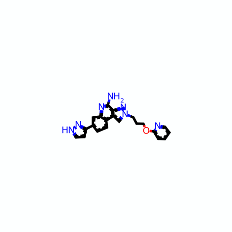 Nc1nc2cc(-c3cc[nH]n3)ccc2c2cn(CCCOc3ccccn3)nc12